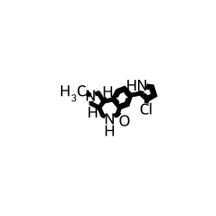 CN1C[C@@H]2CNC(=O)c3cc(-c4[nH]ccc4Cl)ccc3[C@H]2C1